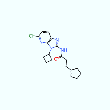 O=C(CCC1CCCC1)Nc1nc2ccc(Cl)nc2n1C1CCC1